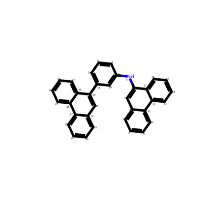 c1cc(Nc2cc3ccccc3c3ccccc23)cc(-c2cc3ccccc3c3ccccc23)c1